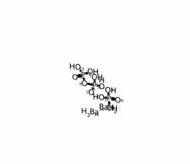 O=P(O)(O)O.O=P(O)(O)OP(=O)(O)O.[BaH2].[BaH2]